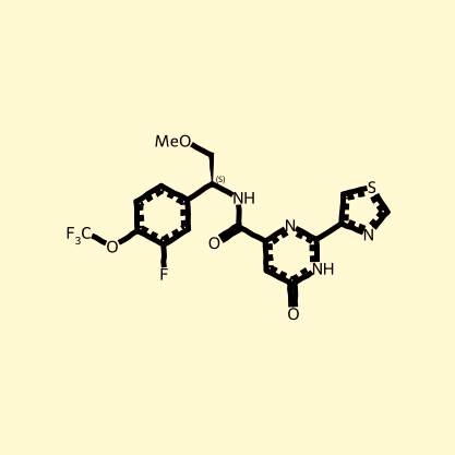 COC[C@@H](NC(=O)c1cc(=O)[nH]c(-c2cscn2)n1)c1ccc(OC(F)(F)F)c(F)c1